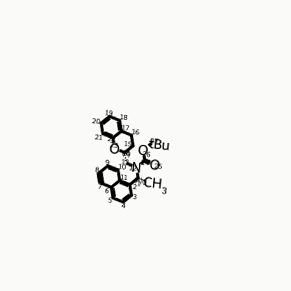 C[C@H](c1cccc2c#cccc12)N(C[C@H]1CCc2ccccc2O1)C(=O)OC(C)(C)C